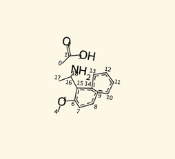 CC(=O)O.COc1ccc2ccccc2c1C(C)N